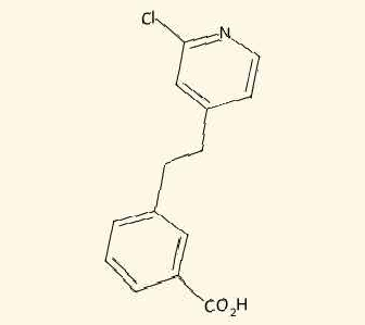 O=C(O)c1cccc(CCc2ccnc(Cl)c2)c1